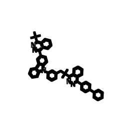 CC(C)(C)c1nnc(-c2ccc3c(c2)c2ccccc2n3-c2cccc(CC(C)(C)c3nnc(-c4ccc(-c5ccccc5)cc4)c4ccccc34)c2)c2ccccc12